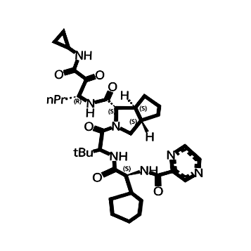 CCC[C@@H](NC(=O)[C@@H]1[C@H]2CCC[C@@H]2CN1C(=O)C(NC(=O)[C@@H](NC(=O)c1cnccn1)C1CCCCC1)C(C)(C)C)C(=O)C(=O)NC1CC1